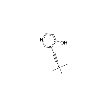 C[Si](C)(C)C#Cc1cnccc1O